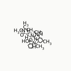 Cc1cc(C(C)Nc2ccccc2C(=O)O)c2nc(N3C[C@@H]4[C@H](C3)[C@@H]4C(=O)N(C)C(C)C)n(C)c(=O)c2c1